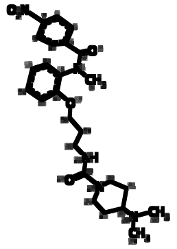 CN(C(=O)c1ccc([N+](=O)[O-])cc1)c1ccccc1OCCCNC(=O)N1CCC(N(C)C)CC1